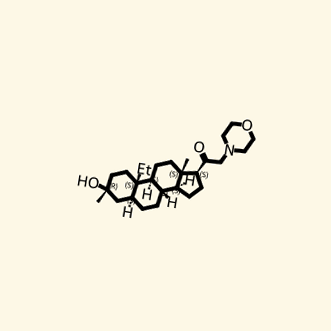 CC[C@]12CC[C@@](C)(O)C[C@@H]1CC[C@H]1[C@@H]3CC[C@H](C(=O)CN4CCOCC4)[C@@]3(C)CC[C@@H]12